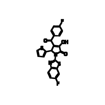 O=C(C1=C(O)C(=O)N(c2nc3ccc(F)cc3s2)C1c1cccs1)c1ccc(F)cc1